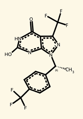 C[C@H](c1ccc(C(F)(F)F)cc1)n1nc(C(F)(F)F)c2c(=O)[nH]c(O)nc21